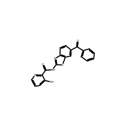 O=C(c1ccccc1)c1ccc2nc(NC(=O)c3ncccc3O)sc2c1